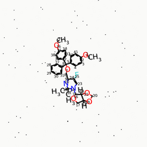 COc1ccc(C(OCC2=NC(C)(C)N([C@@H]3OC[C@H]4OCO[C@@H]34)C=C2F)(c2ccccc2)c2ccc(OC)cc2)cc1